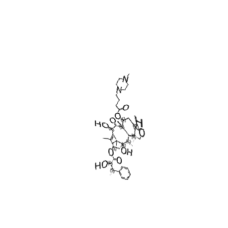 CC1=C2[C@@H](O)C(=O)[C@@]3(C)C([C@H](C)[C@](O)(C[C@@H]1OC(=O)[C@H](O)[C@@H](C)c1ccccc1)C2(C)C)[C@]1(C)CO[C@@H]1C[C@@H]3OC(=O)CCCN1CCN(C)CC1